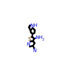 N#Cc1cnc2sc(-c3ccc4[nH]ccc4c3)c(N)c2c1